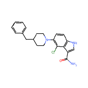 NC(=O)c1c[nH]c2ccc(N3CCC(Cc4ccccc4)CC3)c(Cl)c12